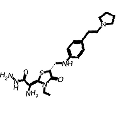 CCN1C(=O)[C@@H](CNc2ccc(CCN3CCCC3)cc2)S/C1=C(/N)C(=O)NN